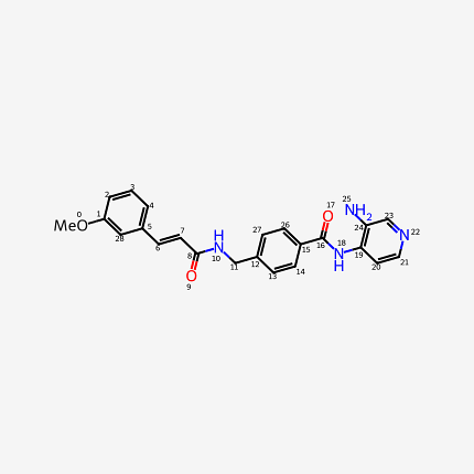 COc1cccc(/C=C/C(=O)NCc2ccc(C(=O)Nc3ccncc3N)cc2)c1